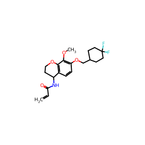 C=CC(=O)NC1CCOc2c1ccc(OCC1CCC(F)(F)CC1)c2OC